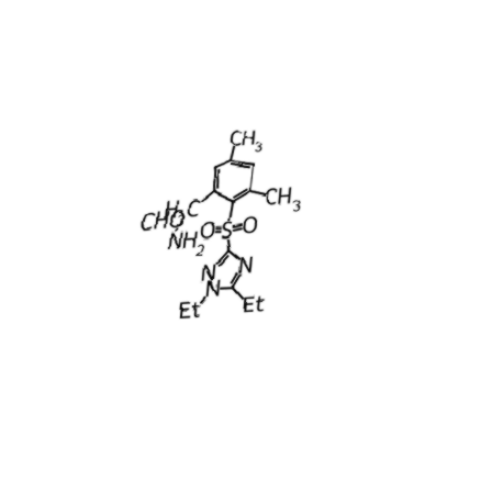 CCc1nc(S(=O)(=O)c2c(C)cc(C)cc2C)nn1CC.NC=O